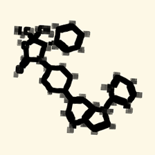 CC1(C)OC(=O)N(C2CCC(c3cnc4ccn(-c5ncccn5)c4c3)CC2)[C@H]1c1ccccc1